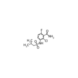 CC(C)CS(=O)(=O)Nc1ccc(F)c(C(N)=O)c1Cl